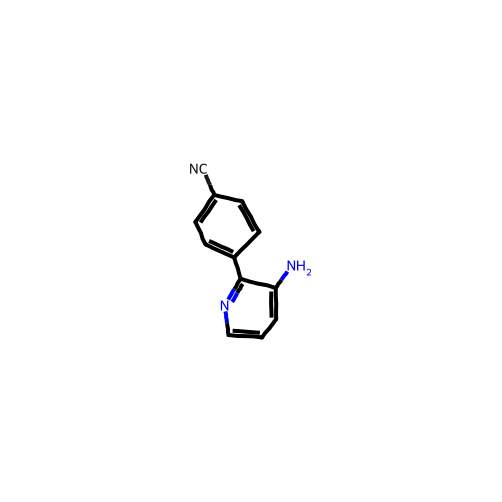 N#Cc1ccc(-c2ncccc2N)cc1